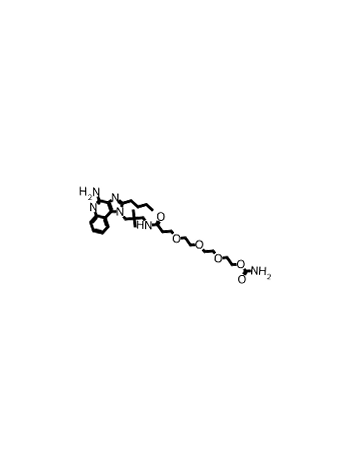 CCCCc1nc2c(N)nc3ccccc3c2n1CC(C)(C)CNC(=O)CCOCCOCCOCCOC(N)=O